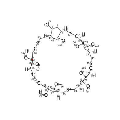 COC1C[C@H]2CSC[C@H]3CC(OC)[C@@H](CSC[C@H]4CC(OC)[C@@H](CSC[C@H]5CC(OC)[C@@H](CSC[C@H]6CC(OC)[C@@H](CSC[C@@H]1CC2OC)CC6OC)CC5OC)CC4OC)CC3OC